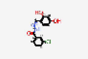 O=C(N/N=C\c1ccc(O)cc1O)c1cccc(Cl)c1